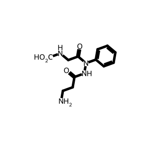 NCCC(=O)NN(C(=O)CNC(=O)O)c1ccccc1